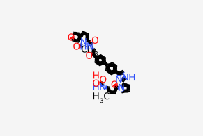 CC(=O)N1C(C(=O)NCC(=O)c2ccc(-c3ccc(-c4c[nH]c([C@@H]5CCCN5C(=O)CC(C)CNC(=O)O)n4)cc3)cc2)CCC12CCOCC2